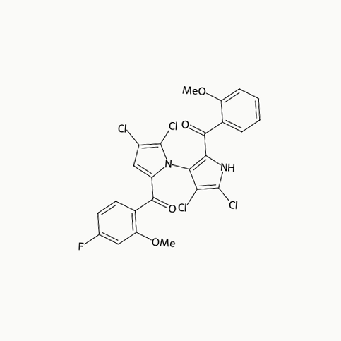 COc1ccccc1C(=O)c1[nH]c(Cl)c(Cl)c1-n1c(C(=O)c2ccc(F)cc2OC)cc(Cl)c1Cl